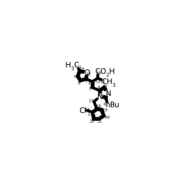 CCCCc1ncc(C=C(c2ccc(C)o2)C(C)C(=O)O)n1Cc1ccccc1Cl